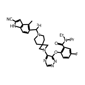 [2H]C(c1ccc2[nH]c(C#N)cc2c1C)N1CCC2(CC1)CN(c1ncnnc1Oc1ccc(F)cc1C(=O)N(CC)C(C)C)C2